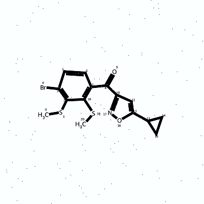 CSc1c(Br)ccc(C(=O)c2cc(C3CC3)on2)c1SC